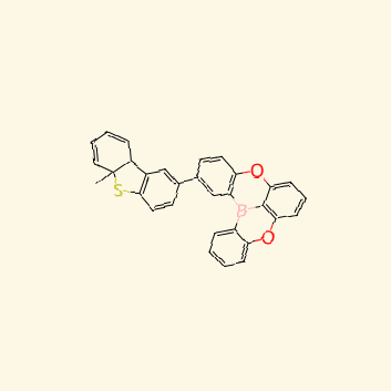 CC12C=CC=CC1c1cc(-c3ccc4c(c3)B3c5ccccc5Oc5cccc(c53)O4)ccc1S2